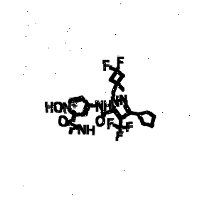 CC1(Cn2nc(C3CCCC3)c(C(F)(F)F)c2C(=O)Nc2cc[n+](O)c(S(C)(=N)=O)c2)CC(F)(F)C1